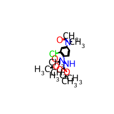 CC(=O)N(C)c1ccc(N(NC(=O)OC(C)(C)C)C(=O)OC(C)(C)C)c(Cl)c1